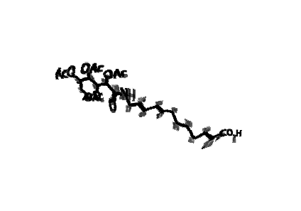 CC(=O)OCC(OC(C)=O)C(OC(C)=O)C(OC(C)=O)C(OC(C)=O)C(=O)NCCCCCCCCCCCC(=O)O